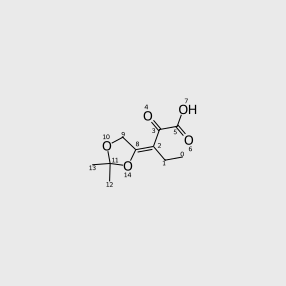 CCC(C(=O)C(=O)O)=C1COC(C)(C)O1